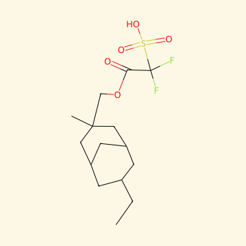 CCC1CC2CC(C1)CC(C)(COC(=O)C(F)(F)S(=O)(=O)O)C2